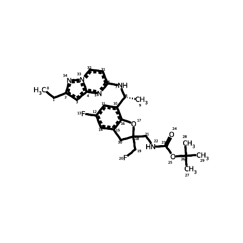 CCc1cc2nc(N[C@H](C)c3cc(F)cc4c3OC(CF)(CNC(=O)OC(C)(C)C)C4)ccn2n1